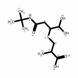 CC(C)(C)NC(=O)CC(SCC(N)C(=O)O)C(O)O